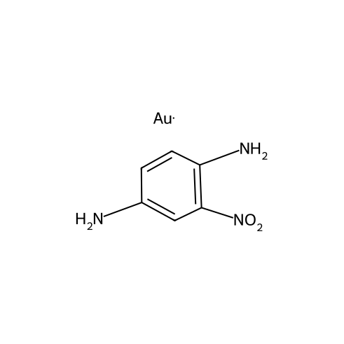 Nc1ccc(N)c([N+](=O)[O-])c1.[Au]